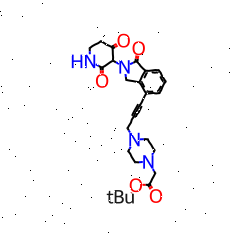 CC(C)(C)OC(=O)CN1CCN(CC#Cc2cccc3c2CN(C2C(=O)CCNC2=O)C3=O)CC1